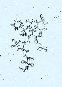 CCOC(=O)C1=C(CN2CC(F)(F)C[C@@H]2CCNS(N)(=O)=O)NC(c2nccs2)=N[C@H]1c1cccc(F)c1C